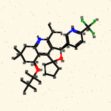 CC(C)c1nc2c(c3c1[C@@H](c1ccc(C(F)(F)F)nc1)OC31CCCC1)[C@@H](O[Si](C)(C)C(C)(C)C)CC(C)(C)C2